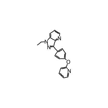 CCn1nc(-c2ccc(Oc3ccccn3)cc2)c2ncccc21